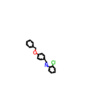 Clc1ccccc1/N=C/c1ccc(OCc2ccccc2)cc1